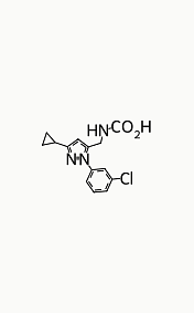 O=C(O)NCc1cc(C2CC2)nn1-c1cccc(Cl)c1